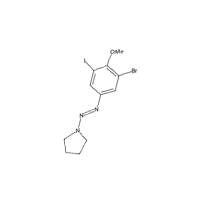 COc1c(Br)cc(/N=N/N2CCCC2)cc1I